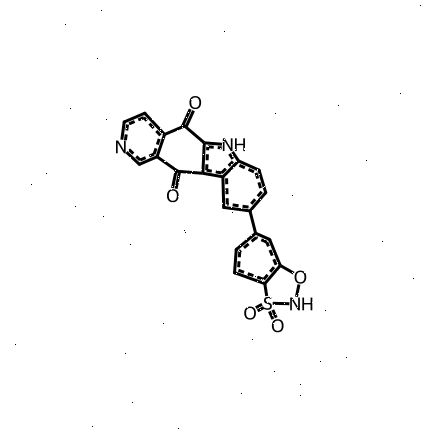 O=C1c2ccncc2C(=O)c2c1[nH]c1ccc(-c3ccc4c(c3)ONS4(=O)=O)cc21